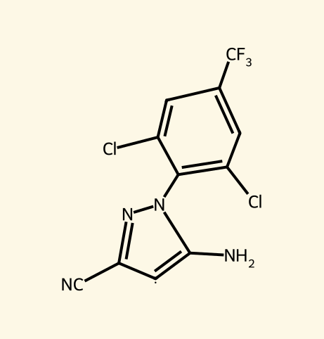 N#Cc1[c]c(N)n(-c2c(Cl)cc(C(F)(F)F)cc2Cl)n1